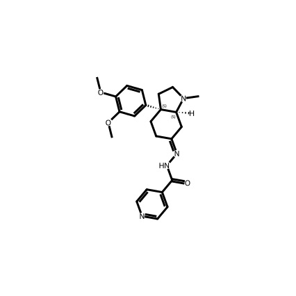 COc1ccc([C@@]23CCC(=NNC(=O)c4ccncc4)C[C@@H]2N(C)CC3)cc1OC